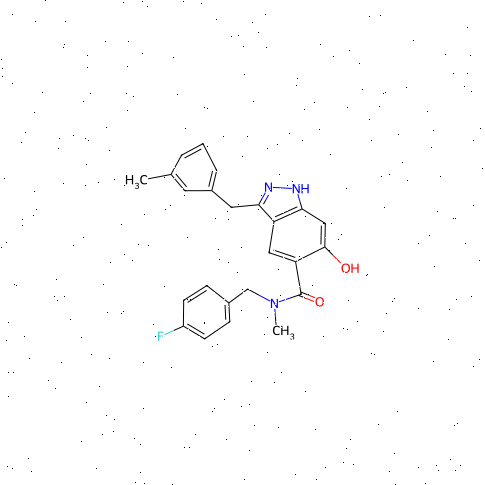 Cc1cccc(Cc2n[nH]c3cc(O)c(C(=O)N(C)Cc4ccc(F)cc4)cc23)c1